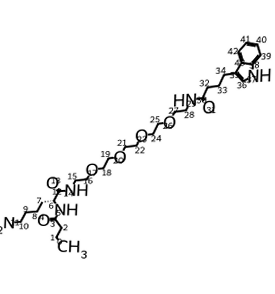 CCCC(=O)N[C@H](CCCCN)C(=O)NCCOCCOCCOCCOCCNC(=O)CCCc1c[nH]c2ccccc12